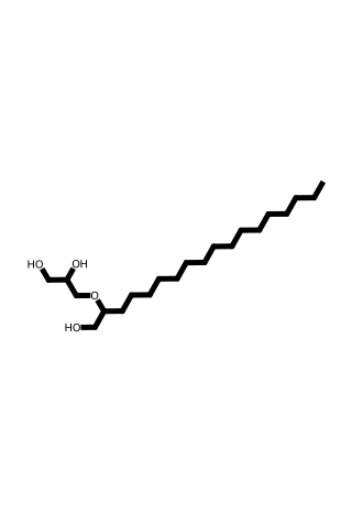 CCCCCCCCCCCCCCCCC(CO)OCC(O)CO